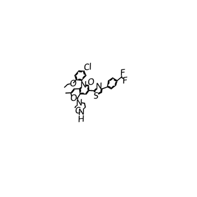 CCOc1ccc(Cl)cc1-n1c(C=C(C)C)c(C(=O)N2CCNCC2)cc(-c2nc(-c3ccc(C(F)F)cc3)cs2)c1=O